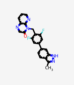 Cc1n[nH]c2cc(-c3cc(F)c(Cn4c(=O)cnc5cccnc54)c(F)c3)ccc12